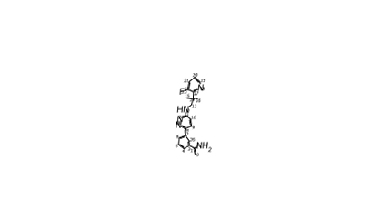 C=C(N)c1cccc(-c2ccc(NCC(C)(C)c3ncccc3F)nn2)c1